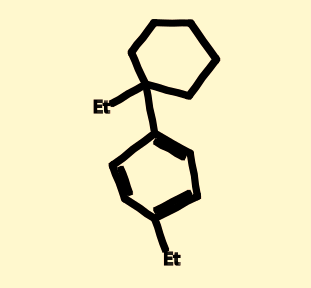 CCc1ccc(C2(CC)CCCCC2)cc1